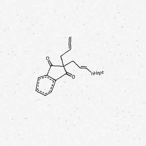 C=CCC1(C/C=C/CCCCCCC)C(=O)c2ccccc2C1=O